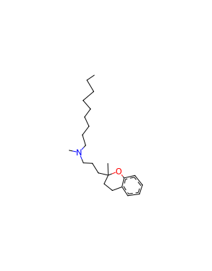 CCCCCCCCCN(C)CCCC1(C)CCc2ccccc2O1